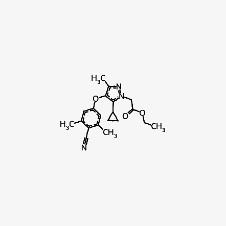 CCOC(=O)Cn1nc(C)c(Oc2cc(C)c(C#N)c(C)c2)c1C1CC1